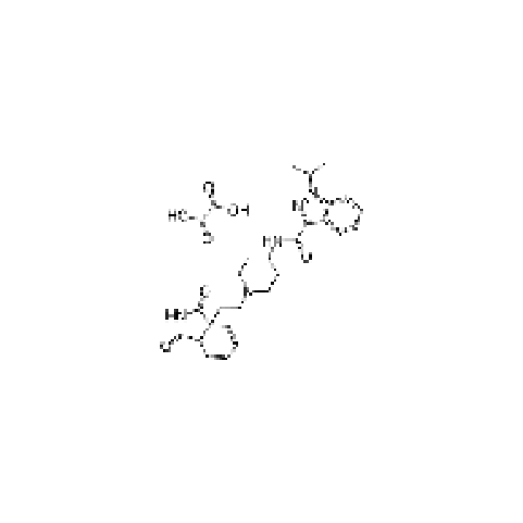 CC(C)n1nc(C(=O)NC2CCN(CCC34C=CC=CC3C(=O)NC4=O)CC2)c2ccccc21.O=C(O)C(=O)O